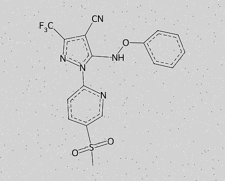 CS(=O)(=O)c1ccc(-n2nc(C(F)(F)F)c(C#N)c2NOc2ccccc2)nc1